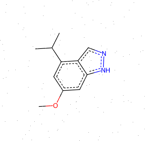 COc1cc(C(C)C)c2cn[nH]c2c1